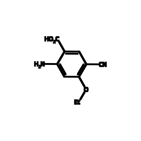 CCOc1cc(N)c(C(=O)O)cc1C#N